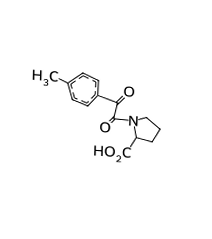 Cc1ccc(C(=O)C(=O)N2CCCC2C(=O)O)cc1